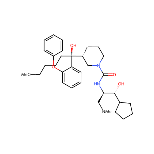 CNC[C@@H](NC(=O)N1CCC[C@@H]([C@@](O)(CCCCOC)c2ccccc2Oc2ccccc2)C1)[C@H](O)C1CCCC1